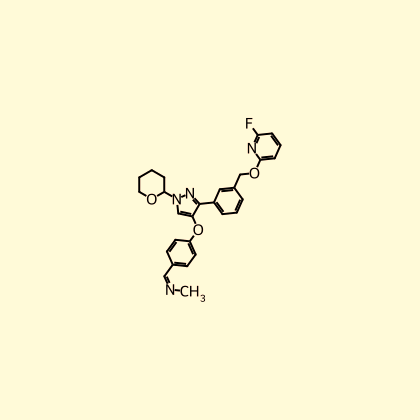 C/N=C\c1ccc(Oc2cn(C3CCCCO3)nc2-c2cccc(COc3cccc(F)n3)c2)cc1